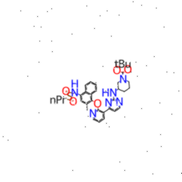 CCCS(=O)(=O)Nc1cc(C)c(Oc2ncccc2-c2ccnc(NC3CCCN(C(=O)OC(C)(C)C)C3)n2)c2ccccc12